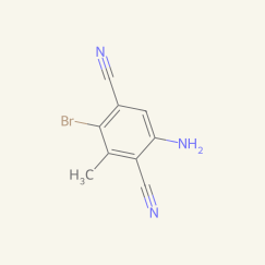 Cc1c(Br)c(C#N)cc(N)c1C#N